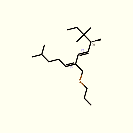 CCCSCC(/C=C/[C@H](C)C(C)(C)CC)=C/CCC(C)C